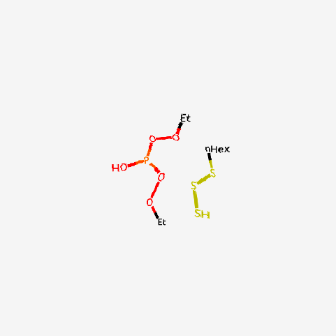 CCCCCCSSS.CCOOP(O)OOCC